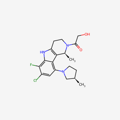 C[C@@H]1CCN(c2cc(Cl)c(F)c3[nH]c4c(c23)[C@H](C)N(C(=O)CO)CC4)C1